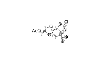 CC(=O)OC[C@H]1COc2c(cc(C(Br)Br)c3nc(Cl)sc23)O1